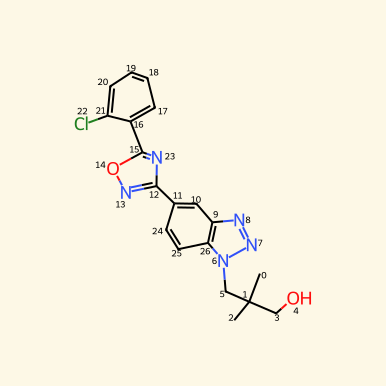 CC(C)(CO)Cn1nnc2cc(-c3noc(-c4ccccc4Cl)n3)ccc21